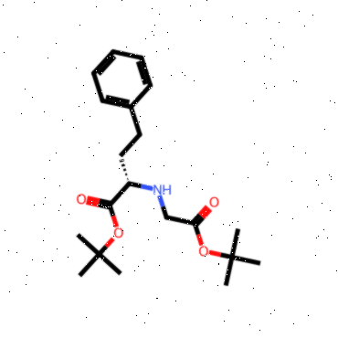 CC(C)(C)OC(=O)CN[C@@H](CCc1ccccc1)C(=O)OC(C)(C)C